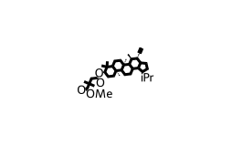 C#C[C@@H]1C2CC[C@@H](C(C)C)C2C2CCC3[C@@](C)(CCC4C(C)(C)[C@@H](OC(=O)CC(C)(C)C(=O)OC)CC[C@@]43C)C2[C@H]1C